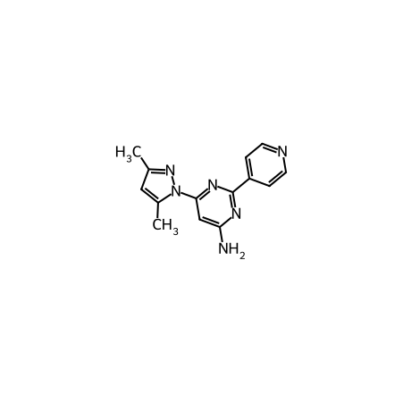 Cc1cc(C)n(-c2cc(N)nc(-c3ccncc3)n2)n1